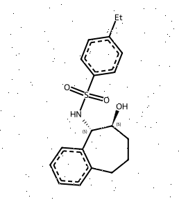 CCc1ccc(S(=O)(=O)N[C@H]2c3ccccc3CCC[C@@H]2O)cc1